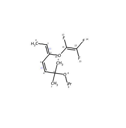 C/C=C(\C=C/C(C)(C)OC(C)C)OC(F)=C(F)F